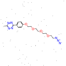 Cc1nnc(-c2ccc(OCCOCCOCCOCCN=[N+]=[N-])cc2)nn1